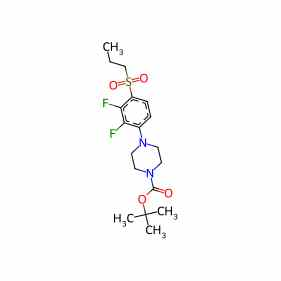 CCCS(=O)(=O)c1ccc(N2CCN(C(=O)OC(C)(C)C)CC2)c(F)c1F